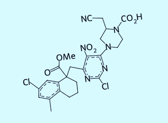 COC(=O)C1(Cc2nc(Cl)nc(N3CCN(C(=O)O)C(CC#N)C3)c2[N+](=O)[O-])CCCc2c(C)cc(Cl)cc21